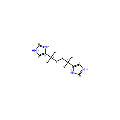 CC(C)(CCC(C)(C)c1cnc[nH]1)c1c[nH]cn1